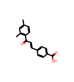 Cc1ccc(C(=O)/C=C/c2ccc(C(=O)O)cc2)c(C)c1